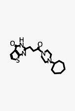 O=C(CCc1nc2sccc2c(=O)[nH]1)N1CCN(C2CCCCCC2)CC1